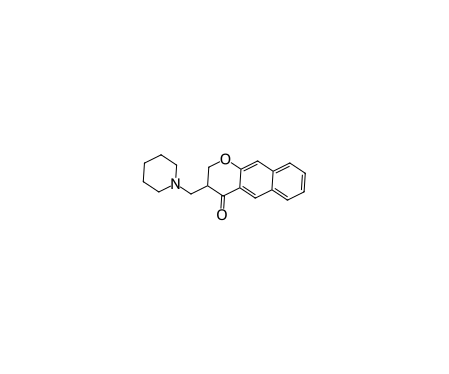 O=C1c2cc3ccccc3cc2OCC1CN1CCCCC1